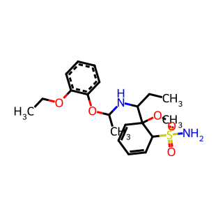 CCOc1ccccc1OC(C)NC(CC)C1(OC)C=CC=CC1S(N)(=O)=O